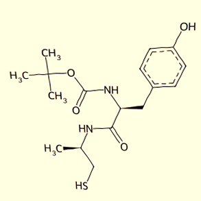 C[C@H](CS)NC(=O)[C@H](Cc1ccc(O)cc1)NC(=O)OC(C)(C)C